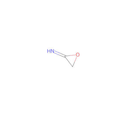 N=C1CO1